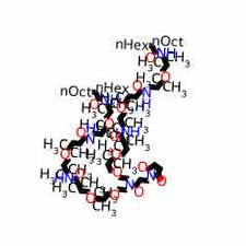 CCCCCCCCC(CCCCCC)C(=O)NC(C)(C)CCOC(C)(C)CCNC(=O)CCC(C)(C)OCCC(C)(C)NC(=O)C(C)(C)CCOC(C)(C)CCOCCN(CCOCCC(C)(C)OCCC(C)(C)C(=O)NC(C)(C)CCOC(C)(C)CCC(=O)NCCC(C)(C)OCCC(C)(C)NC(=O)C(CCCCCC)CCCCCCCC)C(=O)CCN1C(=O)C=CC1=O